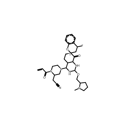 C=CC(=O)N1CCN(C2NC(OCC3CCCN3C)NC3C(=O)[C@@]4(CCC32)CC(F)c2ccccc2O4)CC1CC#N